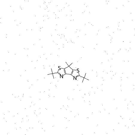 CC(C)(C)c1nc2c(s1)C(C)(C)c1sc(C(C)(C)C)nc1-2